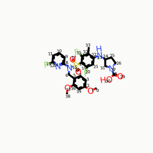 COc1ccc(CN(c2cccc(F)n2)S(=O)(=O)c2c(F)cc(NC3CCN(C(=O)O)C3)c(C)c2F)c(OC)c1